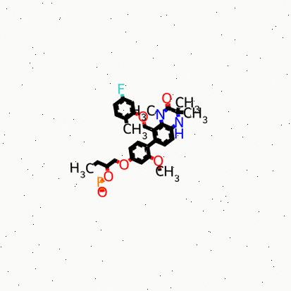 CCC(COc1ccc(-c2ccc3c(c2COc2cc(F)ccc2C)N(C)C(=O)C(C)(C)N3)c(OC)c1)OP=O